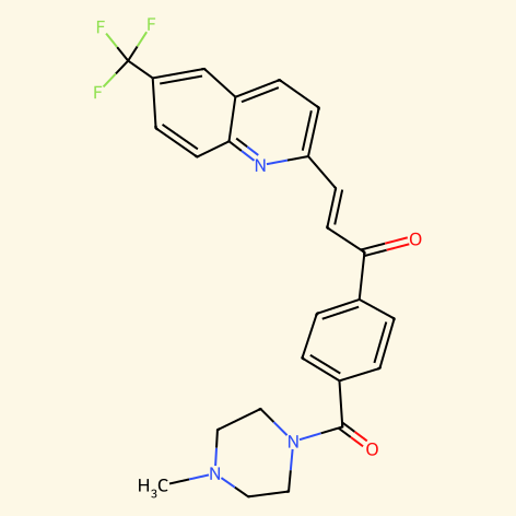 CN1CCN(C(=O)c2ccc(C(=O)C=Cc3ccc4cc(C(F)(F)F)ccc4n3)cc2)CC1